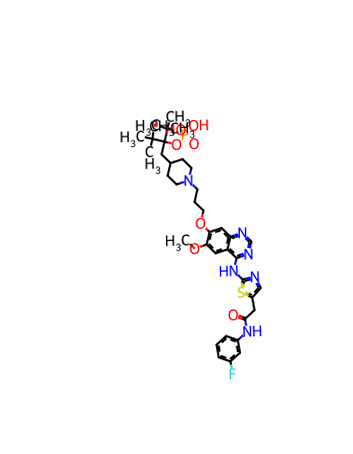 COc1cc2c(Nc3ncc(CC(=O)Nc4cccc(F)c4)s3)ncnc2cc1OCCCN1CCC(CC(OP(=O)(O)O)(C(C)(C)C)C(C)(C)C)CC1